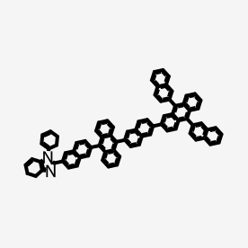 C1=CCCC(n2c(-c3ccc4cc(-c5c6ccccc6c(-c6ccc7cc(-c8ccc9c(-c%10ccc%11ccccc%11c%10)c%10ccccc%10c(-c%10ccc%11ccccc%11c%10)c9c8)ccc7c6)c6ccccc56)ccc4c3)nc3c2C=CCC3)=C1